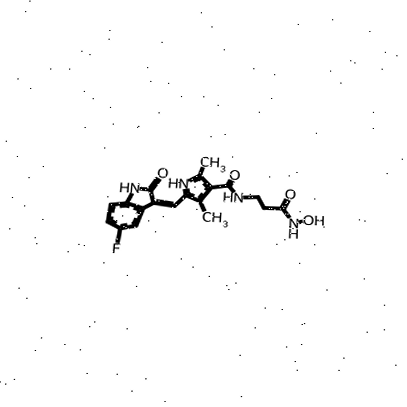 Cc1[nH]c(C=C2C(=O)Nc3ccc(F)cc32)c(C)c1C(=O)NCCC(=O)NO